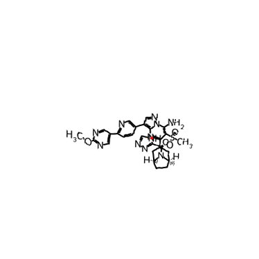 COc1ncc(-c2ccc(-c3cnn4c(N)c(S(C)(=O)=O)c([C@H]5C[C@H]6CC[C@@H](C5)N6C(=O)c5nnc[nH]5)nc34)cn2)cn1